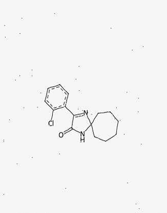 O=C1NC2(CCCCCC2)N=C1c1ccccc1Cl